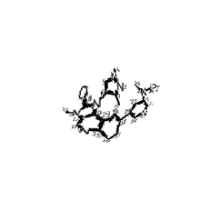 Cc1nn(C)cc1-n1c(=O)n(C)c2cnc3ccc(-c4cncc(N(C)C(C)C)c4)cc3c21